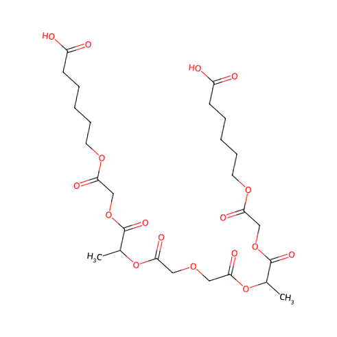 CC(OC(=O)COCC(=O)OC(C)C(=O)OCC(=O)OCCCCCC(=O)O)C(=O)OCC(=O)OCCCCCC(=O)O